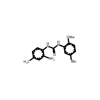 COc1ccc(C(C)(C)C)cc1NC(=O)Nc1ccc(C)cc1N